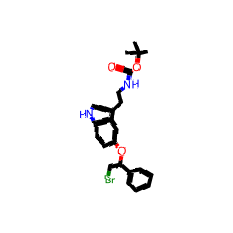 CC(C)(C)OC(=O)NCCc1c[nH]c2ccc(OC(CBr)c3ccccc3)cc12